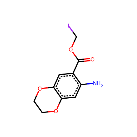 Nc1cc2c(cc1C(=O)OCI)OCCO2